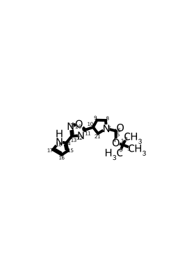 CC(C)(C)OC(=O)N1CCC(c2nc(-c3ccc[nH]3)no2)C1